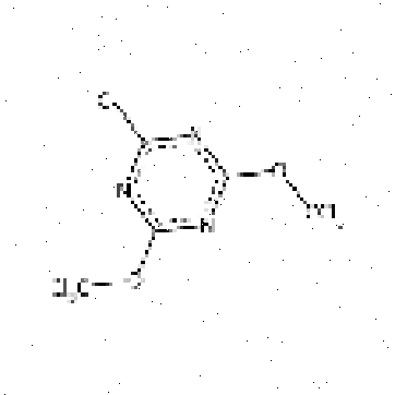 Clc1nc(OC(Cl)(Cl)Cl)nc(OC(Cl)(Cl)Cl)n1